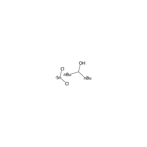 CCCCC(O)CCCC.[Cl][Sn][Cl]